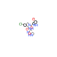 COc1cccc2[nH]c(C(=O)N3CCc4cc(Cl)ccc4C3C(=O)N[C@H](C#N)C[C@@H]3CCNC3=O)cc12